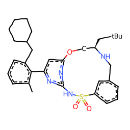 Cc1cccc(CC2CCCCC2)c1-c1cc2nc(n1)NS(=O)(=O)c1cccc(c1)CN[C@H](CC(C)(C)C)CO2